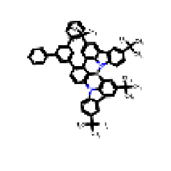 CC(C)(C)c1ccc2c(c1)c1cc(C(C)(C)C)cc3c1n2B1c2c(ccc(-c4cc(-c5ccccc5)cc(-c5ccccc5)c4)c2-3)-n2c3ccc(C(C)(C)C)cc3c3cc(C(C)(C)C)cc1c32